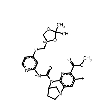 COC(=O)c1nc2c(cc1F)N1CCC(C1)N2C(=O)Nc1cc(OC[C@H]2COC(C)(C)O2)ccn1